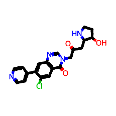 O=C(CC1NCCC1O)Cn1cnc2cc(-c3ccncc3)c(Cl)cc2c1=O